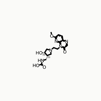 COc1ccc2ncc(=O)n(CCN3C[C@H](CNC(=O)O)[C@H](O)C3)c2n1